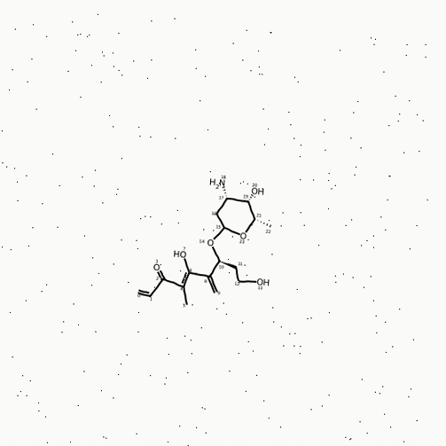 C=CC(=O)/C(C)=C(\O)C(=C)[C@H](CCO)OC1C[C@H](N)[C@H](O)[C@H](C)O1